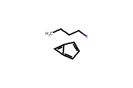 CCCCI.c1cc2cc-2c1